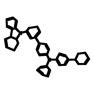 C1=CCC(c2ccc(N(c3ccccc3)c3ccc(C4=CCCC(N5c6ccccc6C6C=CCCC65)=C4)cc3)cc2)CC1